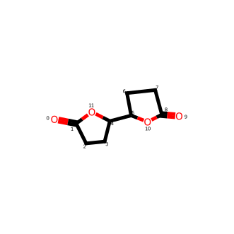 O=C1CCC(C2CCC(=O)O2)O1